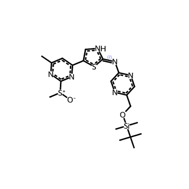 Cc1cc(-c2c[nH]/c(=N/c3cnc(CO[Si](C)(C)C(C)(C)C)cn3)s2)nc([S+](C)[O-])n1